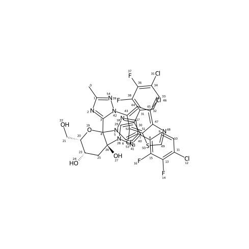 Cc1nc(C2(n3cc(-c4ccc(Cl)c(F)c4F)cn3)O[C@@H](CO)[C@@H](O)C[C@@]2(O)n2cc(-c3ccc(Cl)c(F)c3F)cn2)n(-c2cc(Cl)c3ncsc3c2C(F)(F)F)n1